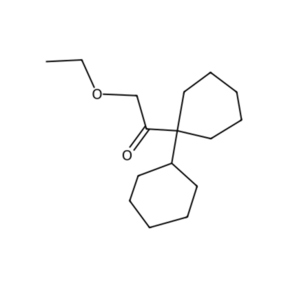 CCOCC(=O)C1(C2CCCCC2)CCCCC1